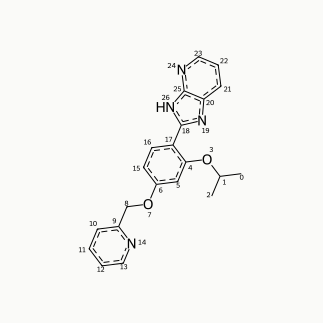 CC(C)Oc1cc(OCc2ccccn2)ccc1-c1nc2cccnc2[nH]1